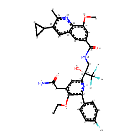 CCOc1c(CC(N)=O)cc([C@@](O)(CNC(=O)c2cc(OC)c3nc(C)c(C4CC4)cc3c2)C(F)(F)F)nc1-c1ccc(F)cc1